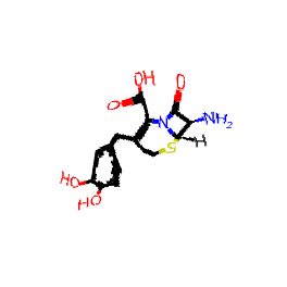 N[C@@H]1C(=O)N2C(C(=O)O)=C(Cc3ccc(O)c(O)c3)CS[C@@H]12